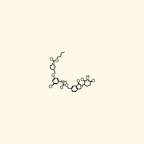 CCCCOC(=O)N1CCC(COc2cc(Cl)cc(NC(=O)OCc3ccc4c(c3)C(=O)N(C3CCC(=O)NC3=O)C4)c2)C1